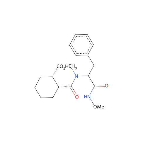 CONC(=O)C(Cc1ccccc1)N(C)C(=O)[C@@H]1CCCC[C@@H]1C(=O)O